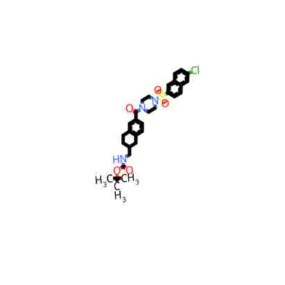 CC(C)(C)OC(=O)NCC1CCc2cc(C(=O)N3CCN(S(=O)(=O)c4ccc5cc(Cl)ccc5c4)CC3)ccc2C1